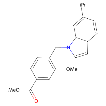 COC(=O)c1ccc(CN2C=CC3C=CC(C(C)C)=CC32)c(OC)c1